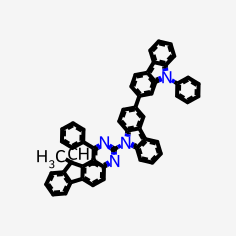 CC1(C)c2ccccc2-c2ccc3nc(-n4c5ccccc5c5cc(-c6ccc7c8ccccc8n(-c8ccccc8)c7c6)ccc54)nc(-c4ccccc4)c3c21